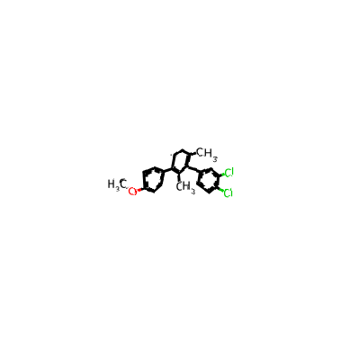 COc1ccc(C2=C(C)C(c3ccc(Cl)c(Cl)c3)=C(C)C[CH]2)cc1